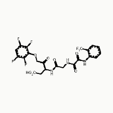 O=C(O)CC(NC(=O)CNC(=O)C(=O)Nc1ccccc1C(F)(F)F)C(=O)COc1c(F)c(F)cc(F)c1F